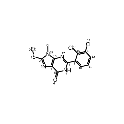 CCSc1nc2c(=O)[nH]c(-c3cccc(Cl)c3Cl)nc2n1C